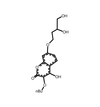 CCCCOc1c(O)c2ccc(OCCC(O)CO)cc2oc1=O